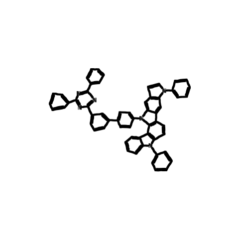 c1ccc(-c2nc(-c3ccccc3)nc(-c3cccc(-c4ccc(-n5c6cc7ccn(-c8ccccc8)c7cc6c6ccc7c(c8ccccc8n7-c7ccccc7)c65)cc4)c3)n2)cc1